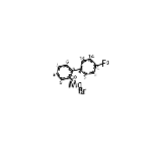 Fc1ccc(-c2cccc[c]2[Mg][Br])cc1